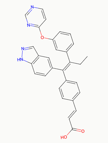 CCC(=C(c1ccc(C=CC(=O)O)cc1)c1ccc2[nH]ncc2c1)c1cccc(Oc2ccncn2)c1